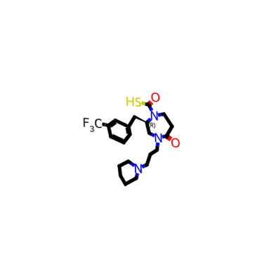 O=C1CCN(C(=O)S)[C@H](Cc2cccc(C(F)(F)F)c2)CN1CCCN1CCCCC1